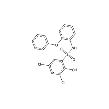 O=S(=O)(Nc1ccccc1Oc1ccccc1)c1cc(Cl)cc(Cl)c1O